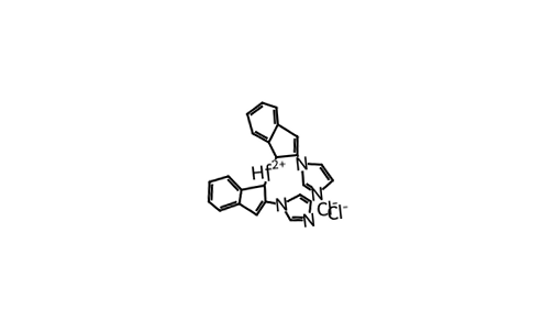 C1=C(n2ccnc2)[CH]([Hf+2][CH]2C(n3ccnc3)=Cc3ccccc32)c2ccccc21.[Cl-].[Cl-]